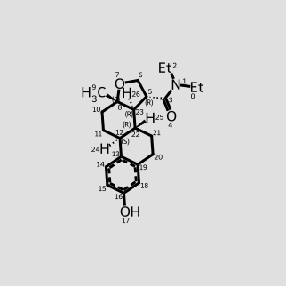 CCN(CC)C(=O)[C@H]1CO[C@@]2(C)CC[C@@H]3c4ccc(O)cc4CC[C@H]3[C@H]12